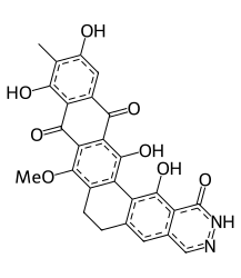 COc1c2c(c(O)c3c1C(=O)c1c(cc(O)c(C)c1O)C3=O)-c1c(cc3cn[nH]c(=O)c3c1O)CC2